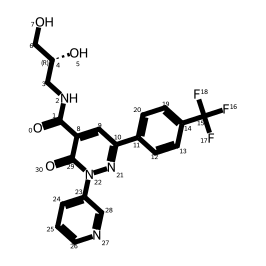 O=C(NC[C@@H](O)CO)c1cc(-c2ccc(C(F)(F)F)cc2)nn(-c2cccnc2)c1=O